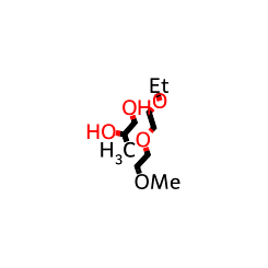 CC(O)CO.CCOCCOCCOC